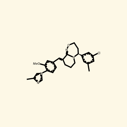 COc1cc(/C=C2\CCCN3C2=NOCC[C@H]3c2cc(C)cc(Cl)c2)ccc1-n1cnc(C)c1